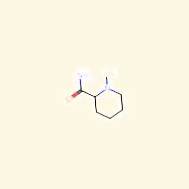 CCCCN1CCCCC1C(N)=O